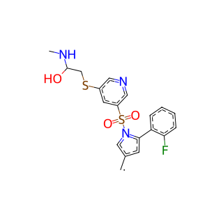 [CH2]c1cc(-c2ccccc2F)n(S(=O)(=O)c2cncc(SCC(O)NC)c2)c1